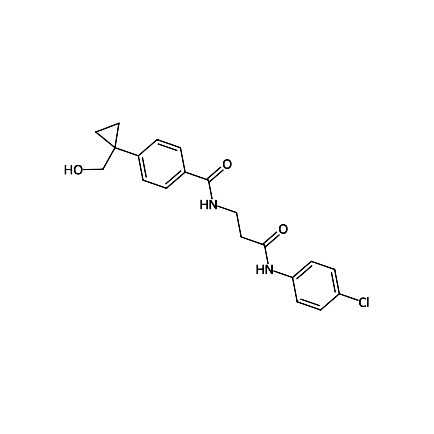 O=C(CCNC(=O)c1ccc(C2(CO)CC2)cc1)Nc1ccc(Cl)cc1